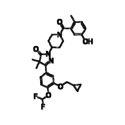 Cc1ccc(O)cc1C(=O)N1CCC(N2N=C(c3ccc(OC(F)F)c(OCC4CC4)c3)C(C)(C)C2=O)CC1